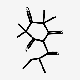 CCC(C)C(=S)C1C(=S)C(C)(C)C(=O)C(C)(C)C1=S